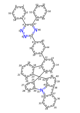 c1ccc(-c2nnc(-c3ccc(-c4cccc5c4-c4ccccc4C54c5ccccc5-n5c6ccccc6c6cccc4c65)cc3)nc2-c2ccccc2)cc1